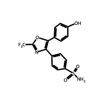 NS(=O)(=O)c1ccc(-c2nc(C(F)(F)F)oc2-c2ccc(O)cc2)cc1